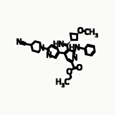 CCOC(=O)c1cc(-c2ccc(N3CCC(C#N)CC3)nc2)c(C(=N)[C@H]2C[C@@H](OC)C2)c(Nc2ccccc2)n1